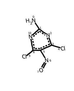 Nc1nc(Cl)c(N=O)c(Cl)n1